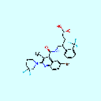 Cc1c(N2CCCC(F)(F)C2)nc2ccc(Br)cc2c1C(=O)NCC(CCC(=O)O)c1ccccc1C(F)(F)F